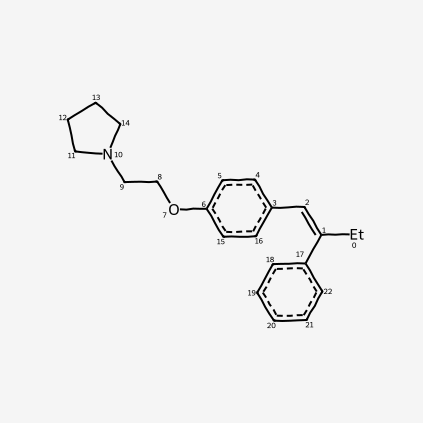 CCC(=Cc1ccc(OCCN2CCCC2)cc1)c1ccccc1